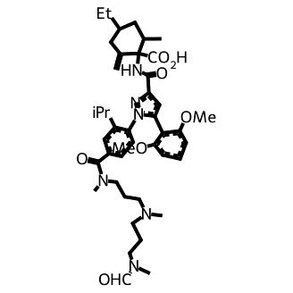 C=C1CC(CC)CC(C)C1(NC(=O)c1cc(-c2c(OC)cccc2OC)n(-c2ccc(C(=O)N(C)CCCN(C)CCCN(C)C=O)cc2C(C)C)n1)C(=O)O